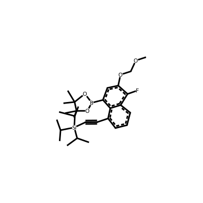 COCOc1cc(B2OC(C)(C)C(C)(C)O2)c2c(C#C[Si](C(C)C)(C(C)C)C(C)C)cccc2c1F